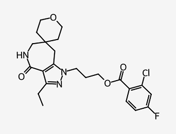 CCc1nn(CCCOC(=O)c2ccc(F)cc2Cl)c2c1C(=O)NCC1(CCOCC1)C2